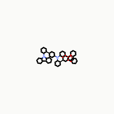 c1cc(-c2cccc3ccccc23)cc(N(c2ccc(-c3ccccc3-n3c4ccccc4c4ccccc43)cc2)c2ccccc2-c2ccc3oc4ccccc4c3c2)c1